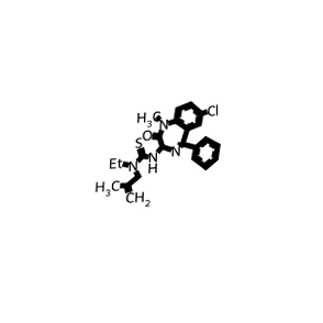 C=C(C)CN(CC)C(=S)NC1N=C(c2ccccc2)c2cc(Cl)ccc2N(C)C1=O